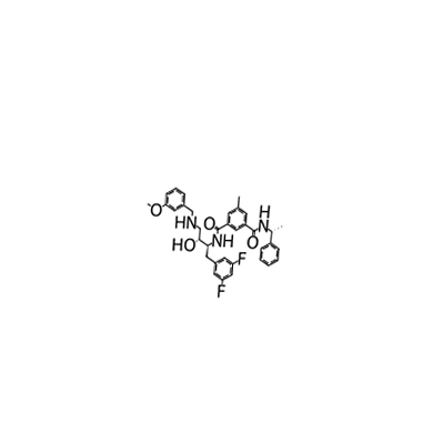 COc1cccc(CNC[C@@H](O)[C@H](Cc2cc(F)cc(F)c2)NC(=O)c2cc(C)cc(C(=O)N[C@H](C)c3ccccc3)c2)c1